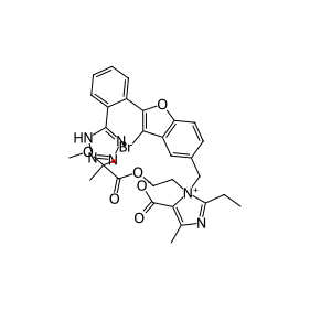 CCC1=NC(C)=C(C(=O)[O-])[N+]1(CCOC(=O)C(C)(C)OC)Cc1ccc2oc(-c3ccccc3-c3nnn[nH]3)c(Br)c2c1